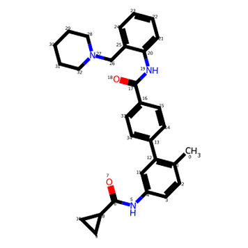 Cc1ccc(NC(=O)C2CC2)cc1-c1ccc(C(=O)Nc2ccccc2CN2CCCCC2)cc1